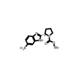 Bc1ccc2nc([C@@H]3CCCN3C(=O)OC(C)(C)C)[nH]c2c1